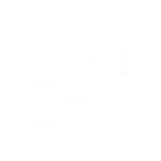 CC(C1CCCCC1)C1OCCO1